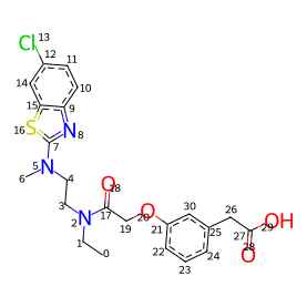 CCN(CCN(C)c1nc2ccc(Cl)cc2s1)C(=O)COc1cccc(CC(=O)O)c1